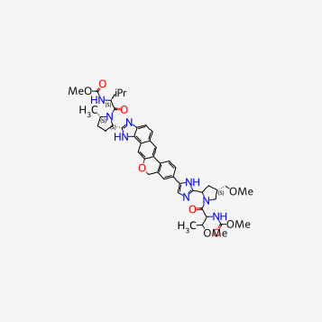 COC[C@H]1CC(c2ncc(-c3ccc4c(c3)COc3cc5c(ccc6nc([C@@H]7CC[C@H](C)N7C(=O)[C@@H](NC(=O)OC)C(C)C)[nH]c65)cc3-4)[nH]2)N(C(=O)C(NC(=O)OC)C(C)OC)C1